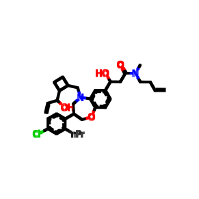 C=CCCN(C)C(=O)CC(O)c1ccc2c(c1)N(CC1CCC1C(O)C=C)CC(c1ccc(Cl)cc1CCC)CO2